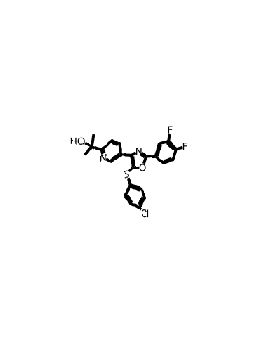 CC(C)(O)c1ccc(-c2nc(-c3ccc(F)c(F)c3)oc2Sc2ccc(Cl)cc2)cn1